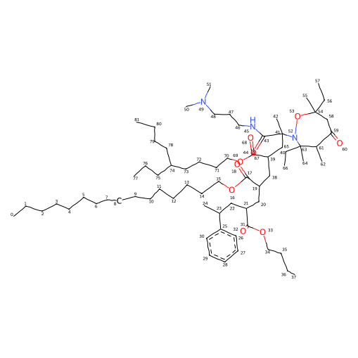 CCCCCCCCCCCCCCCCOC(=O)C(CC(CC(C)c1ccccc1)C(=O)OCCCC)CC(CC(C)(C(=O)NCCCN(C)C)N1OC(C)(CC)CC(=O)C(C)C1(C)CC)C(=O)OCCCCC(CCC)CCCC